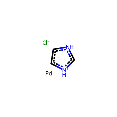 [Cl-].[Pd].c1c[nH+]c[nH]1